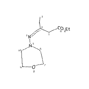 CCOC(=O)CC(C)=NN1CCOCC1